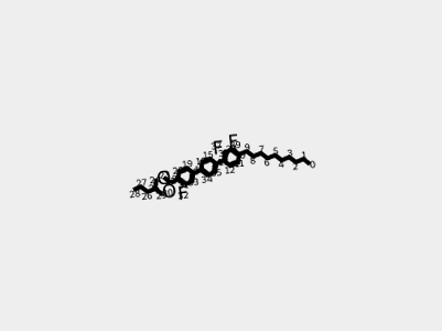 CCCCCCCCCCc1ccc(-c2ccc(-c3ccc(C4OCC(CCC)CO4)c(F)c3)cc2)c(F)c1F